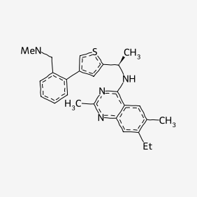 CCc1cc2nc(C)nc(N[C@H](C)c3cc(-c4ccccc4CNC)cs3)c2cc1C